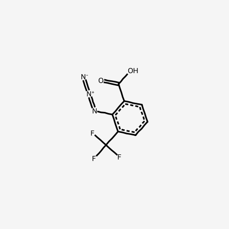 [N-]=[N+]=Nc1c(C(=O)O)cccc1C(F)(F)F